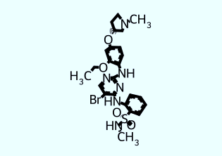 CCOc1cc(O[C@@H]2CCN(C)C2)ccc1Nc1ncc(Br)c(Nc2ccccc2S(=O)(=O)NC)n1